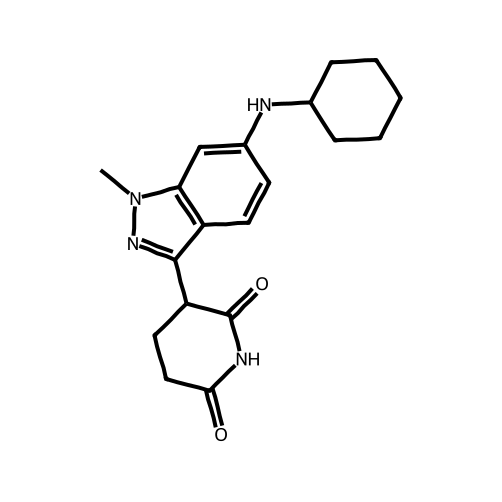 Cn1nc(C2CCC(=O)NC2=O)c2ccc(NC3CCCCC3)cc21